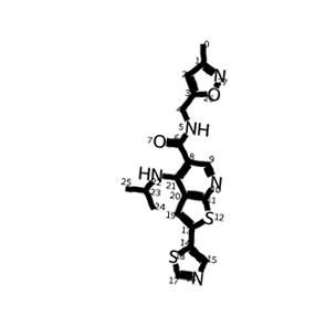 Cc1cc(CNC(=O)c2cnc3sc(-c4cncs4)cc3c2NC(C)C)on1